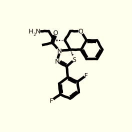 CC(=O)N1N=C(c2cc(F)ccc2F)S[C@]12c1ccccc1OC[C@H]2CCN